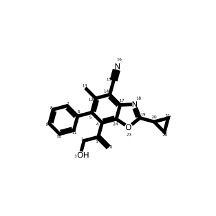 C=C(CO)c1c(-c2ccccc2)c(C)c(C#N)c2nc(C3CC3)oc12